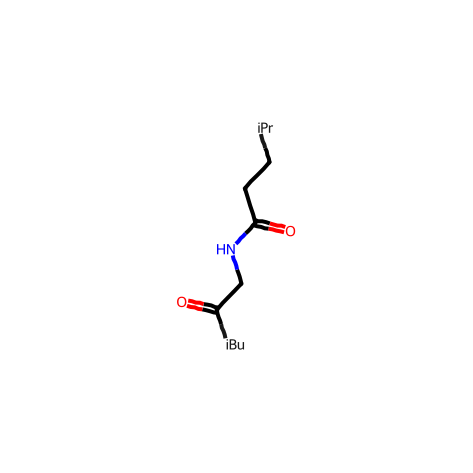 CCC(C)C(=O)CNC(=O)CCC(C)C